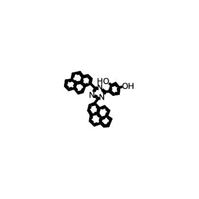 Oc1ccc(-c2nc(-c3ccc4ccc5cccc6ccc3c4c56)nc(-c3ccc4ccc5cccc6ccc3c4c56)n2)c(O)c1